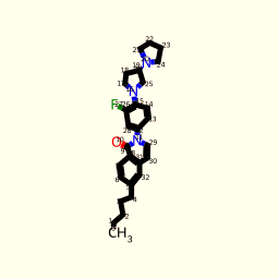 CCCCCc1ccc2c(=O)n(-c3ccc(N4CC[C@@H](N5CCCC5)C4)c(F)c3)ccc2c1